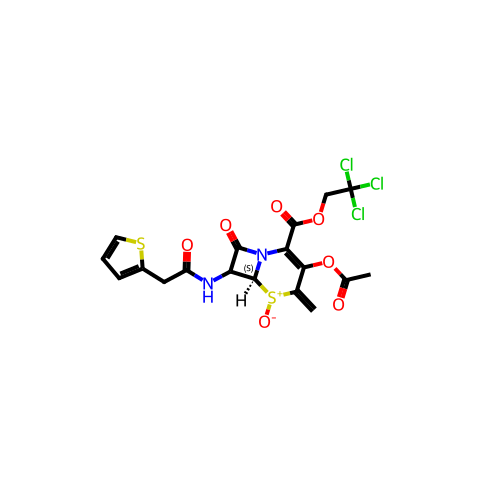 C=C1C(OC(C)=O)=C(C(=O)OCC(Cl)(Cl)Cl)N2C(=O)C(NC(=O)Cc3cccs3)[C@@H]2[S+]1[O-]